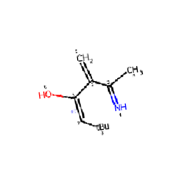 C=C(C(C)=N)/C(O)=C\C(C)(C)C